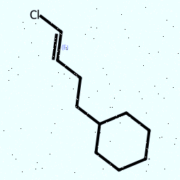 Cl/C=C/CCC1CC[CH]CC1